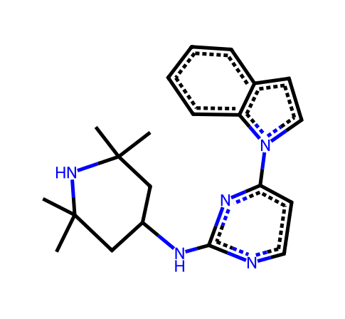 CC1(C)CC(Nc2nccc(-n3ccc4ccccc43)n2)CC(C)(C)N1